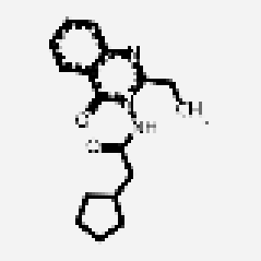 CCc1nc2ccccc2c(=O)n1NC(=O)CC1CCCC1